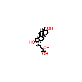 C[C@H](CCC(O)C(C)(C)O)[C@H]1[C@@H](O)C[C@@]2(C)[C@@H]3CC[C@H]4C(C)(C)[C@@H](O)CC[C@@]45C[C@]35CC[C@]12C